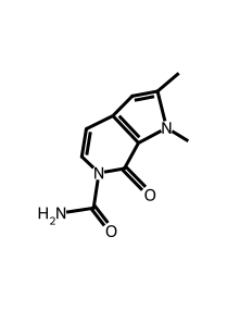 Cc1cc2ccn(C(N)=O)c(=O)c2n1C